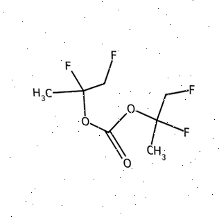 CC(F)(CF)OC(=O)OC(C)(F)CF